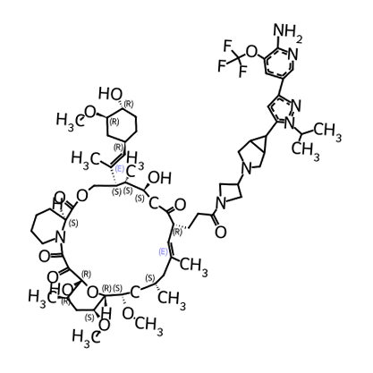 CO[C@H]1C[C@@H](C)C/C(C)=C/[C@@H](CCC(=O)N2CC(N3CC4C(C3)C4c3cc(-c4cnc(N)c(OC(F)(F)F)c4)nn3C(C)C)C2)C(=O)C[C@H](O)[C@@H](C)[C@@H](/C(C)=C/[C@@H]2CC[C@@H](O)[C@H](OC)C2)COC(=O)[C@@H]2CCCCN2C(=O)C(=O)[C@]2(O)O[C@H]1[C@@H](OC)C[C@H]2C